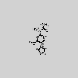 COc1cc(N(S)C(N)=O)ccc1-n1ccnc1